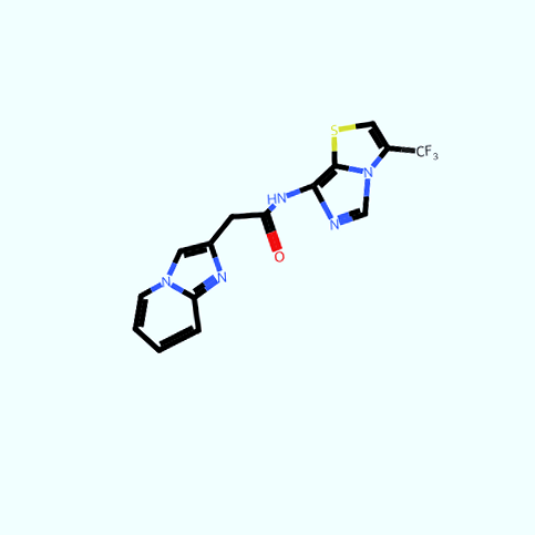 O=C(Cc1cn2ccccc2n1)Nc1ncn2c(C(F)(F)F)csc12